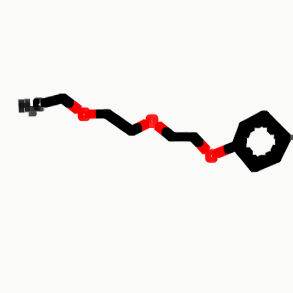 CCOCCOCCOc1cc[c]cc1